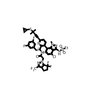 CCS(=O)(=O)Nc1nn(C)c2c(-c3ccc(C#CC(C)(C)SC4CC4)nc3[C@H](Cc3cc(F)cc(F)c3)NC(=O)Cn3nc(C(F)(F)F)c4c3C(F)(F)CC4)ccc(Cl)c12